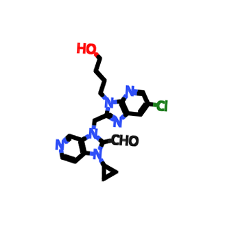 O=CC1N(Cc2nc3cc(Cl)cnc3n2CCCCO)c2cnccc2N1C1CC1